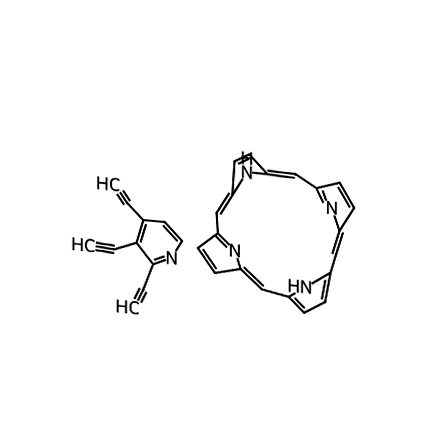 C#Cc1ccnc(C#C)c1C#C.C1=Cc2cc3ccc(cc4nc(cc5ccc(cc1n2)[nH]5)C=C4)[nH]3